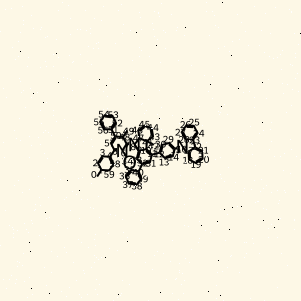 CC1C=CC(C2=NC(N3c4c(c(-c5ccc(-n6c7ccccc7c7ccccc76)cc5)cc5c4oc4ccccc45)C4(C)C=CC=CC34)C(C)C(c3ccccc3)=C2)=CC1